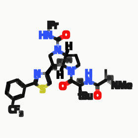 CN[C@@H](C)C(=O)N[C@H](C(=O)N1CC[C@@H]2[C@H]1[C@@H](c1csc(-c3cccc(C(F)(F)F)c3)n1)CN2C(=O)NC(C)C)C(C)(C)C